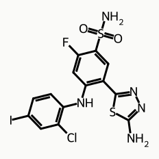 Nc1nnc(-c2cc(S(N)(=O)=O)c(F)cc2Nc2ccc(I)cc2Cl)s1